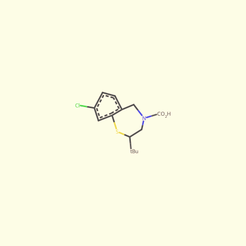 CC(C)(C)C1CN(C(=O)O)Cc2ccc(Cl)cc2S1